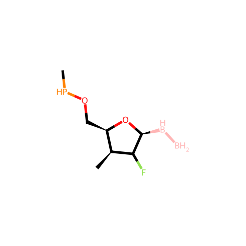 BB[C@@H]1O[C@H](COPC)[C@H](C)C1F